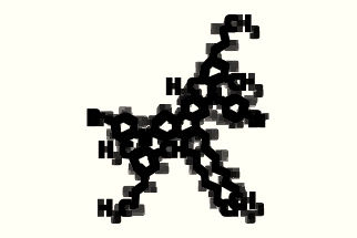 CCCCCCCCc1c(CCCCCCCC)c2cc(N(c3ccc(Br)cc3)c3c(C)cc(CCCC)cc3C)ccc2c2ccc(N(c3ccc(Br)cc3)c3c(C)cc(CCCC)cc3C)cc12